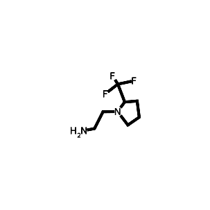 NCCN1CCCC1C(F)(F)F